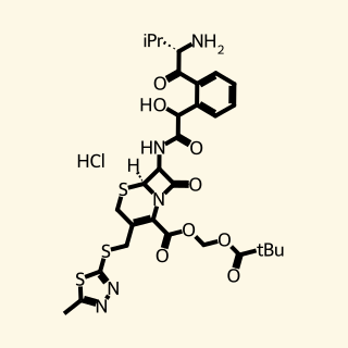 Cc1nnc(SCC2=C(C(=O)OCOC(=O)C(C)(C)C)N3C(=O)C(NC(=O)C(O)c4ccccc4C(=O)[C@@H](N)C(C)C)[C@@H]3SC2)s1.Cl